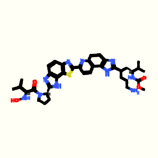 COC(=O)N[C@H](CC(CCCN)c1nc2ccc3nc(-c4nc5ccc6nc([C@@H]7CCCN7C(=O)[C@@H](NO)C(C)C)[nH]c6c5s4)ccc3c2[nH]1)C(C)C